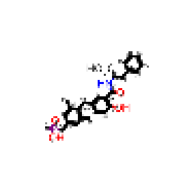 Cc1cc(CP(C)(=O)O)cc(C)c1Cc1ccc(O)c(C(=O)NC(Cc2ccccc2)C(=O)O)c1